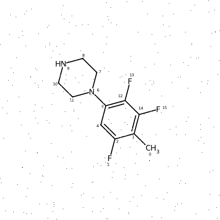 Cc1c(F)cc(N2CCNCC2)c(F)c1F